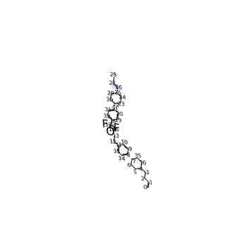 C=CCC[C@H]1CC[C@H](c2ccc(CCOC(F)(F)c3ccc([C@H]4CC[C@H](/C=C/C)CC4)cc3)cc2)CC1